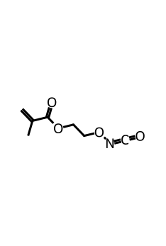 C=C(C)C(=O)OCCON=C=O